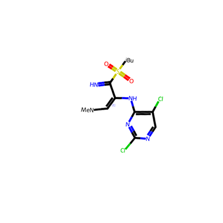 CCC(C)S(=O)(=O)C(=N)/C(=C\NC)Nc1nc(Cl)ncc1Cl